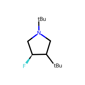 CC(C)(C)C1CN(C(C)(C)C)C[C@@H]1F